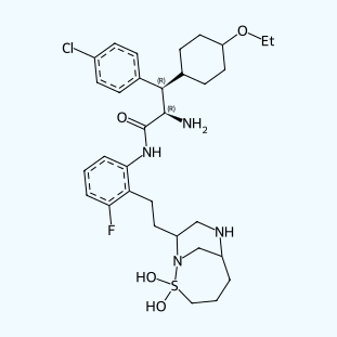 CCOC1CCC([C@H](c2ccc(Cl)cc2)[C@@H](N)C(=O)Nc2cccc(F)c2CCC2CNC3CCCS(O)(O)N2C3)CC1